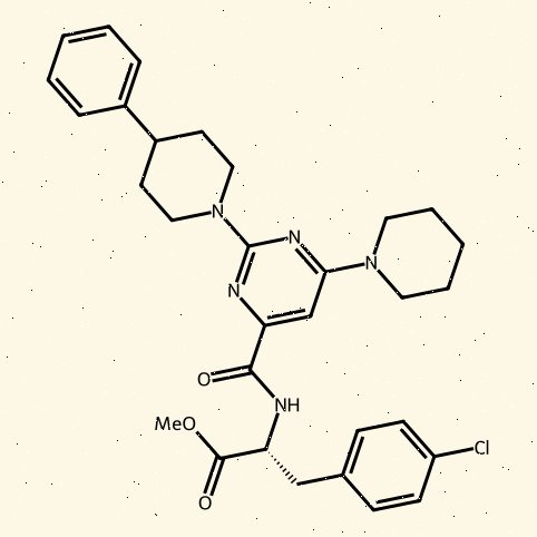 COC(=O)[C@@H](Cc1ccc(Cl)cc1)NC(=O)c1cc(N2CCCCC2)nc(N2CCC(c3ccccc3)CC2)n1